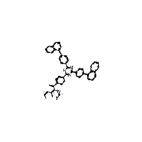 C=C(C(/N=C\I)=C(C)\C=C/C)c1ccc(-c2nc(-c3ccc(-c4cccc5ccccc45)cc3)nc(-c3ccc(-c4cccc5ccccc45)cc3)n2)cc1